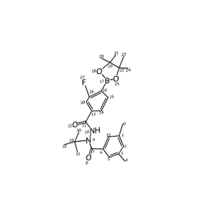 Cc1cc(C)cc(C(=O)N(NC(=O)c2ccc(B3OC(C)(C)C(C)(C)O3)c(F)c2)C(C)(C)C)c1